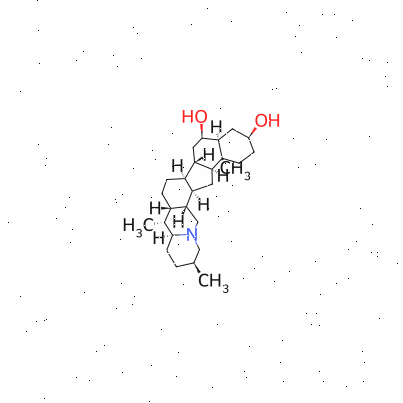 C[C@H]1CC[C@H]2[C@H](C)[C@@H]3CC[C@@H]4[C@@H](C[C@H]5[C@H]4C[C@@H](O)[C@H]4C[C@@H](O)CC[C@@]45C)[C@@H]3CN2C1